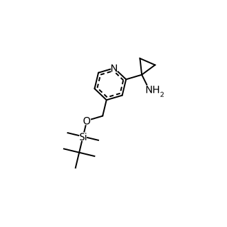 CC(C)(C)[Si](C)(C)OCc1ccnc(C2(N)CC2)c1